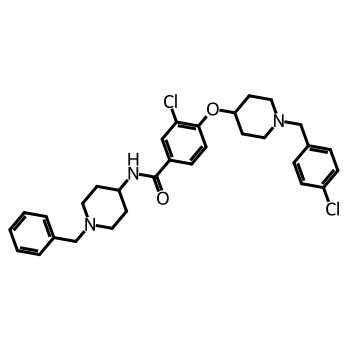 O=C(NC1CCN(Cc2ccccc2)CC1)c1ccc(OC2CCN(Cc3ccc(Cl)cc3)CC2)c(Cl)c1